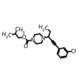 CCC(C#Cc1cccc(Cl)c1)N1CCN(C(=O)OCC(C)C)CC1